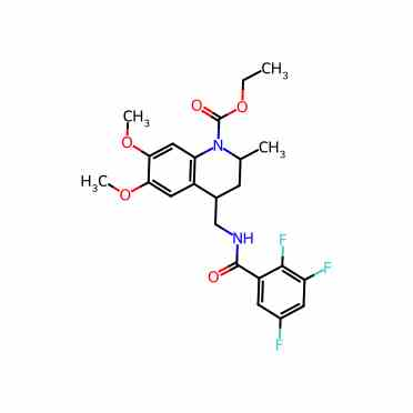 CCOC(=O)N1c2cc(OC)c(OC)cc2C(CNC(=O)c2cc(F)cc(F)c2F)CC1C